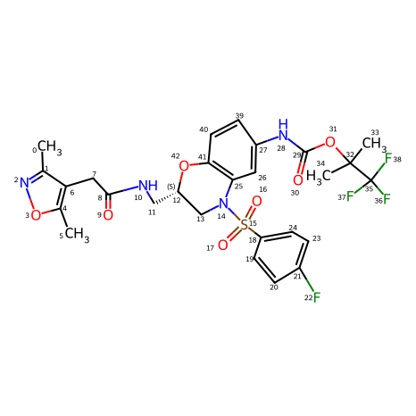 Cc1noc(C)c1CC(=O)NC[C@H]1CN(S(=O)(=O)c2ccc(F)cc2)c2cc(NC(=O)OC(C)(C)C(F)(F)F)ccc2O1